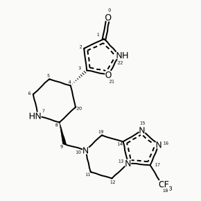 O=c1cc([C@H]2CCN[C@H](CN3CCn4c(nnc4C(F)(F)F)C3)C2)o[nH]1